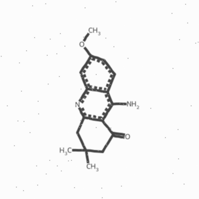 COc1ccc2c(N)c3c(nc2c1)CC(C)(C)CC3=O